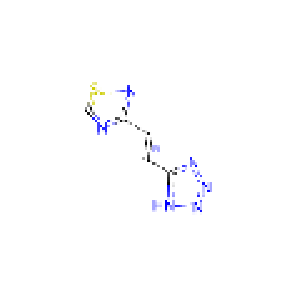 C(=C\c1nnn[nH]1)/c1ncsn1